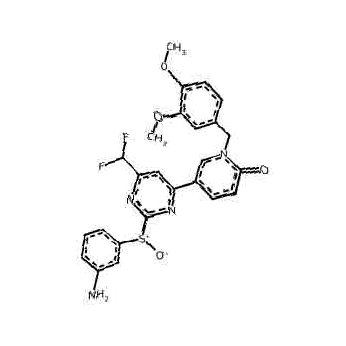 COc1ccc(Cn2cc(-c3cc(C(F)F)nc([S+]([O-])c4cccc(N)c4)n3)ccc2=O)cc1OC